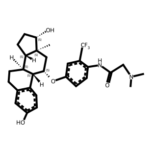 CN(C)CC(=O)Nc1ccc(O[C@H]2C[C@]3(C)[C@@H](O)CC[C@H]3[C@@H]3CCc4cc(O)ccc4[C@H]32)cc1C(F)(F)F